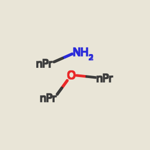 CCCN.CCCOCCC